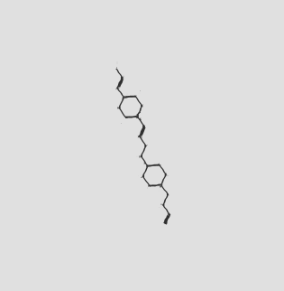 C=CCCC1CCC(CCC=CC2CCC(C=CC)CC2)CC1